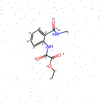 CCOC(=O)C(=O)Nc1ccccc1C(=O)NC